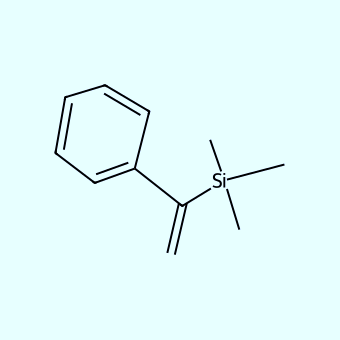 C=C(c1ccccc1)[Si](C)(C)C